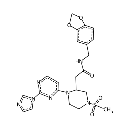 CS(=O)(=O)N1CCN(c2ccnc(-n3ccnc3)n2)C(CC(=O)NCc2ccc3c(c2)OCO3)C1